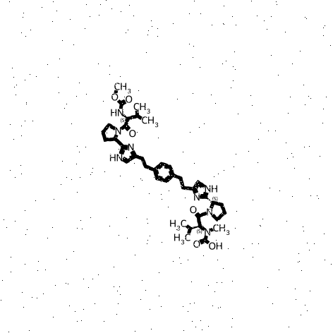 COC(=O)N[C@H](C(=O)N1CCCC1c1nc(CCc2ccc(CCc3c[nH]c([C@@H]4CCCN4C(=O)[C@H](C(C)C)N(C)C(=O)O)n3)cc2)c[nH]1)C(C)C